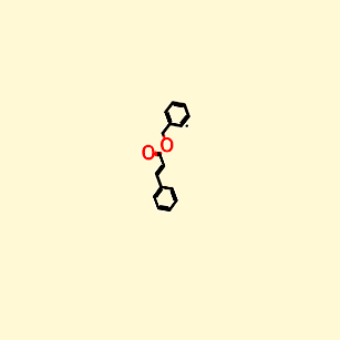 O=C(C=Cc1ccccc1)OCc1[c]cccc1